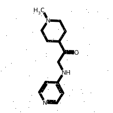 CN1CCC(C(=O)CNc2ccncc2)CC1